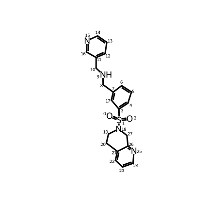 O=S(=O)(c1cccc(CNCc2cccnc2)c1)N1CCc2cccnc2C1